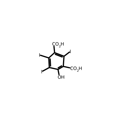 O=C(O)c1c(O)c(I)c(I)c(C(=O)O)c1I